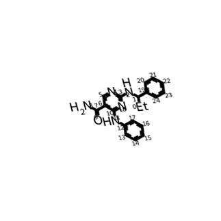 CCC(Nc1ncc(C(N)=O)c(Nc2ccccc2)n1)c1ccccc1